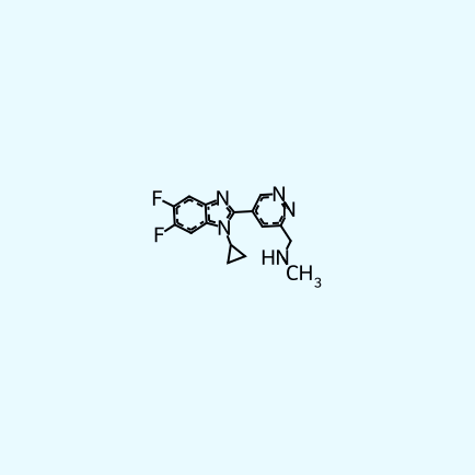 CNCc1cc(-c2nc3cc(F)c(F)cc3n2C2CC2)cnn1